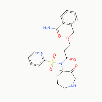 NC(=O)c1ccccc1COC[CH]C(=O)N([C@H]1CCCNCC1=O)S(=O)(=O)c1ccccn1